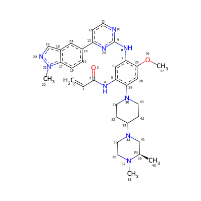 C=CC(=O)Nc1cc(Nc2nccc(-c3ccc4c(cnn4C)c3)n2)c(OC)cc1N1CCC(N2CCN(C)[C@H](C)C2)CC1